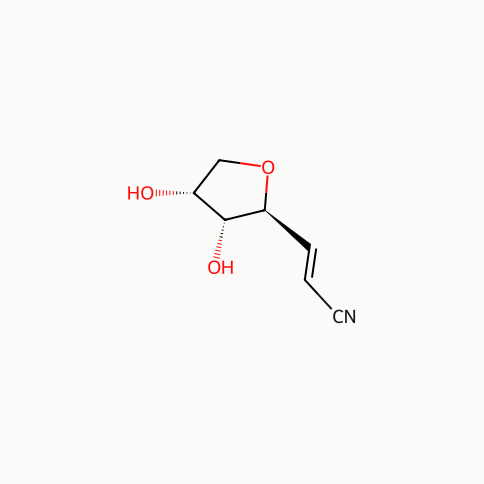 N#C/C=C/[C@@H]1OC[C@@H](O)[C@H]1O